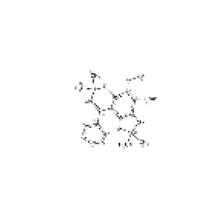 COc1c(CBr)c2c(c3c1OC(C)(C)C3)C(c1ccccc1)=NC(C)(C)C2